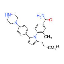 Cc1cc(C(N)=O)ccc1-n1c(CCC(=O)O)ccc1-c1ccc(N2CCNCC2)cc1